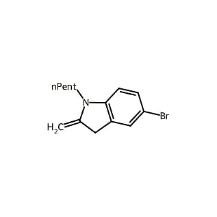 C=C1Cc2cc(Br)ccc2N1CCCCC